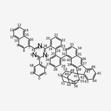 c1ccc(-c2nc(-c3ccc4ccccc4c3)nc(-c3ccccc3-c3ccccc3-c3cccc4cc5c(cc34)C3(c4ccccc4-5)C4CC5CC(C4)CC3C5)n2)cc1